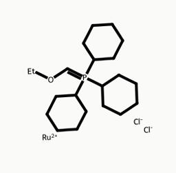 CCOC=P(C1CCCCC1)(C1CCCCC1)C1CCCCC1.[Cl-].[Cl-].[Ru+2]